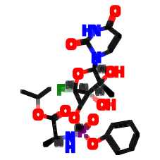 CC(C)OC(=O)[C@H](C)N[P@](=O)(Oc1ccccc1)OC1[C@]2(O)[C@@](C)(O)[C@H](n3ccc(=O)[nH]c3=O)O[C@]12F